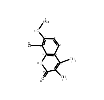 Cc1c(C)c2ccc(OC(C)(C)C)c(Cl)c2oc1=O